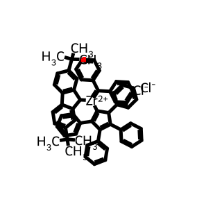 CC(C)(C)c1ccc2c(c1)[CH]([Zr+2]([C]1=C(c3ccccc3)C(c3ccccc3)=C(c3ccccc3)C1c1ccccc1)=[C](c1ccccc1)c1ccccc1)c1cc(C(C)(C)C)ccc1-2.[Cl-].[Cl-]